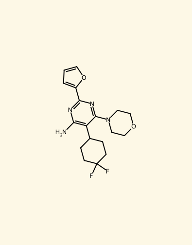 Nc1nc(-c2ccco2)nc(N2CCOCC2)c1C1CCC(F)(F)CC1